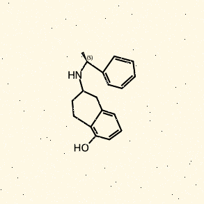 C[C@H](NC1CCc2c(O)cccc2C1)c1ccccc1